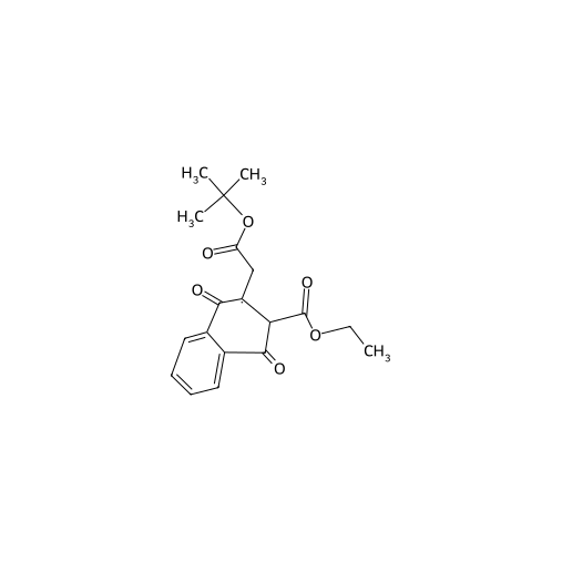 CCOC(=O)C1[C](CC(=O)OC(C)(C)C)C(=O)c2ccccc2C1=O